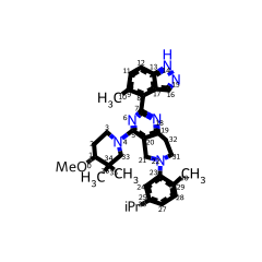 COC1CCN(c2nc(-c3c(C)ccc4[nH]ncc34)nc3c2CN(c2cc(C(C)C)ccc2C)CC3)CC1(C)C